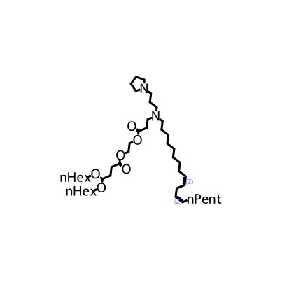 CCCCC/C=C\C/C=C\CCCCCCCCN(CCCN1CCCC1)CCC(=O)OCCOC(=O)CCC(OCCCCCC)OCCCCCC